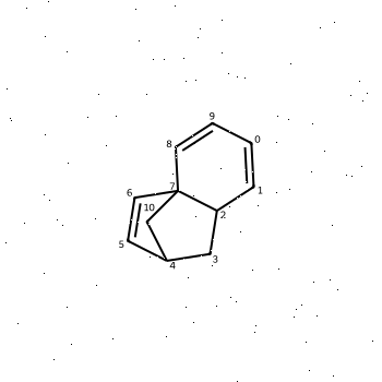 C1=CC2CC3C=CC2(C=C1)C3